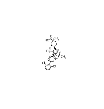 CC(C)(F)CN(CC(=O)c1c(Cl)cccc1Cl)C(=O)c1cnn([C@H]2CC[C@](C)(C(=O)O)CC2)c1C(F)(F)F